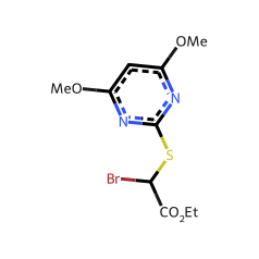 CCOC(=O)C(Br)Sc1nc(OC)cc(OC)n1